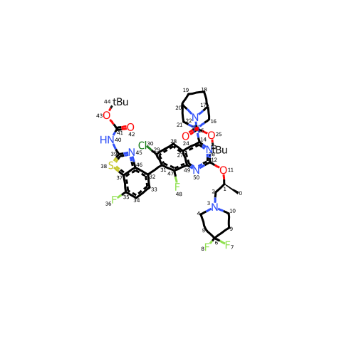 C[C@@H](CN1CCC(F)(F)CC1)Oc1nc(N2CC3CCC(C2)N3C(=O)OC(C)(C)C)c2cc(Cl)c(-c3ccc(F)c4sc(NC(=O)OC(C)(C)C)nc34)c(F)c2n1